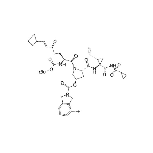 C=C[C@@H]1C[C@]1(NC(=O)[C@@H]1C[C@@H](OC(=O)N2Cc3cccc(F)c3C2)CN1C(=O)[C@H](CCC(=O)/C=C/C1CCC1)NC(=O)OC(C)(C)C)C(=O)NS(=O)(=O)C1CC1